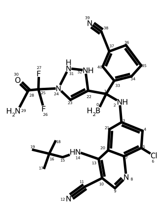 BC(Nc1cc(Cl)c2ncc(C#N)c(NCC(C)(C)C)c2c1)(C1=CN(C(F)(F)C(N)=O)NN1)c1cccc(C#N)c1